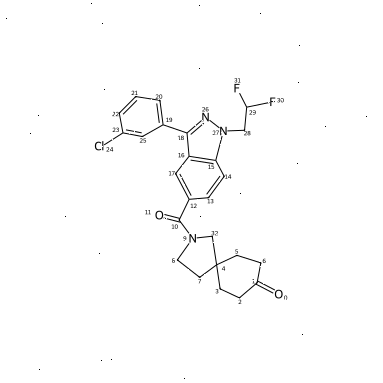 O=C1CCC2(CC1)CCN(C(=O)c1ccc3c(c1)c(-c1cccc(Cl)c1)nn3CC(F)F)C2